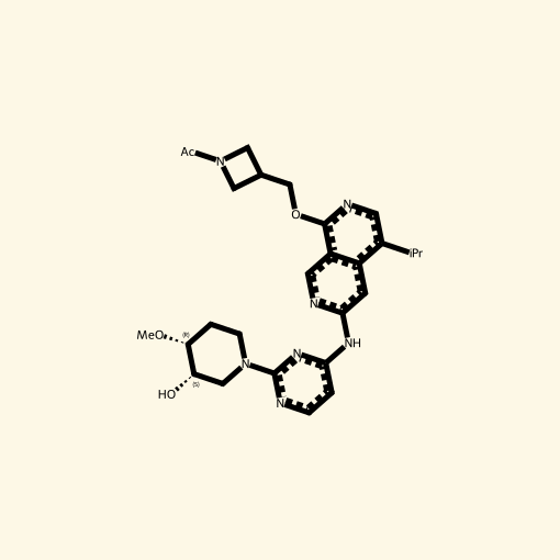 CO[C@@H]1CCN(c2nccc(Nc3cc4c(C(C)C)cnc(OCC5CN(C(C)=O)C5)c4cn3)n2)C[C@@H]1O